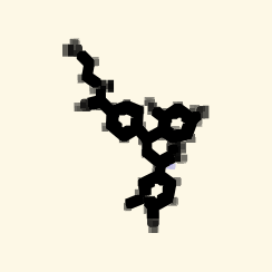 Cn1cc(/C(CC(c2ccc(C(=O)NCCO)cc2)c2ccc(Cl)cc2F)=N/O)ccc1=O